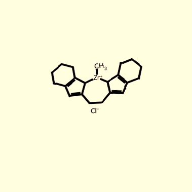 [CH3][Zr+]1[CH]2C(=CC3=C2CCCC3)CCC2=CC3=C(CCCC3)[CH]21.[Cl-]